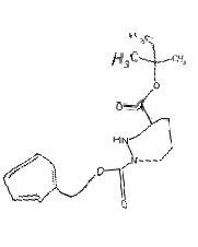 CC(C)(C)OC(=O)C1CCCN(C(=O)OCc2ccccc2)N1